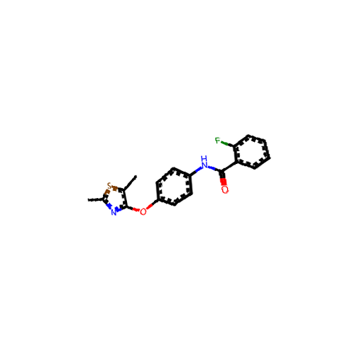 Cc1nc(Oc2ccc(NC(=O)c3ccccc3F)cc2)c(C)s1